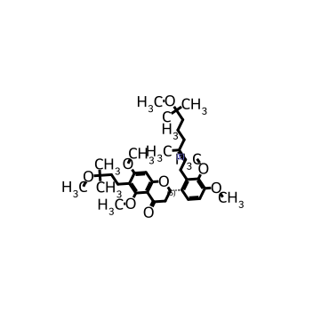 COc1cc2c(c(OC)c1CCC(C)(C)OC)C(=O)C[C@@H](c1ccc(OC)c(OC)c1C/C=C(\C)CCCC(C)(C)OC)O2